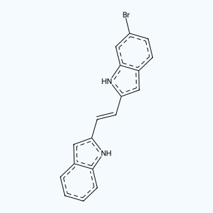 Brc1ccc2cc(/C=C/c3cc4ccccc4[nH]3)[nH]c2c1